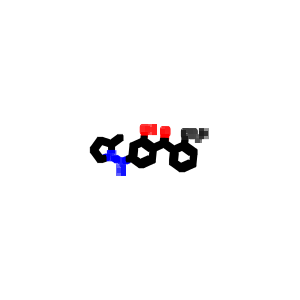 CC1CCCN1Nc1ccc(C(=O)c2ccccc2C(=O)O)c(O)c1